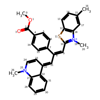 COC(=O)c1ccc(C(=C\c2sc3ccc(C)cc3[n+]2C)/C=C2\C=CN(C)c3ccccc32)cc1